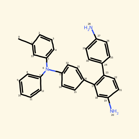 Cc1cccc(N(c2ccccc2)c2ccc(-c3cc(N)ccc3-c3ccc(N)cc3)cc2)c1